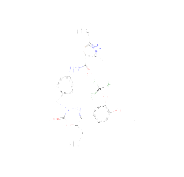 CCC1OC(=O)N(Cc2ccc(NC(=O)c3sc(C)nc3C)cc2)N=C1c1ccc(OC)c(OC(F)(F)F)c1